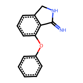 N=C1NCc2cccc(Oc3ccccc3)c21